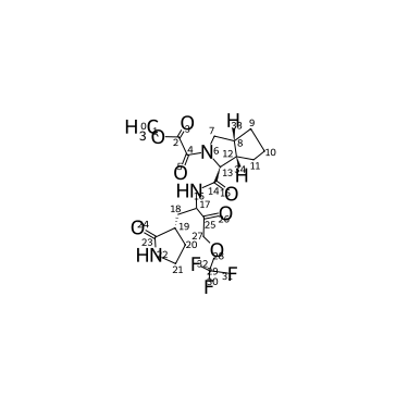 COC(=O)C(=O)N1C[C@@H]2CCC[C@@H]2[C@H]1C(=O)NC(C[C@@H]1CCNC1=O)C(=O)COC(F)(F)F